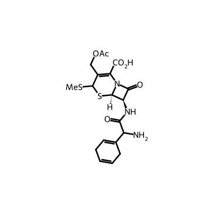 CSC1S[C@@H]2[C@H](NC(=O)C(N)C3=CCC=CC3)C(=O)N2C(C(=O)O)=C1COC(C)=O